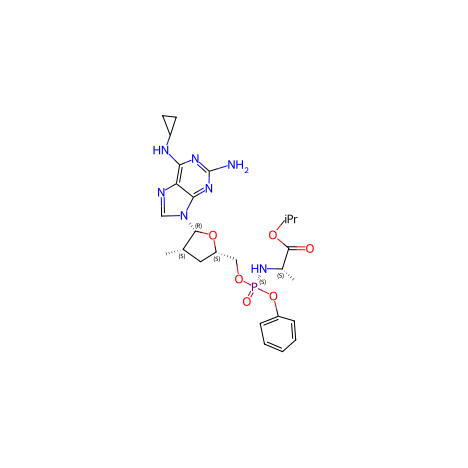 CC(C)OC(=O)[C@H](C)N[P@](=O)(OC[C@@H]1C[C@H](C)[C@H](n2cnc3c(NC4CC4)nc(N)nc32)O1)Oc1ccccc1